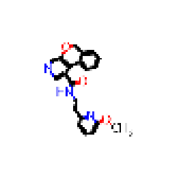 COc1cccc(CCNC(=O)c2cncc3c2-c2ccccc2CO3)n1